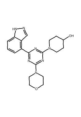 OC1CCN(c2nc(-c3cccc4[nH]ncc34)nc(N3CCOCC3)n2)CC1